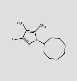 CCc1nn(C2CCCCCCC2)c(C)c1C